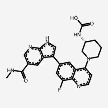 CNC(=O)c1cnc2[nH]cc(-c3cc(F)c4nccc(N5CCC[C@@H](NC(=O)O)C5)c4c3)c2c1